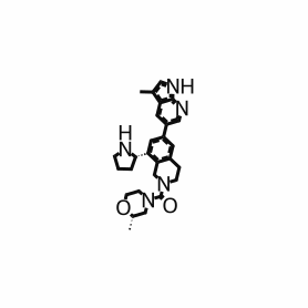 Cc1c[nH]c2ncc(-c3cc4c(c([C@@H]5CCCN5)c3)CN(C(=O)N3CCO[C@@H](C)C3)CC4)cc12